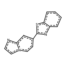 [c]1c(-c2nc3ccccc3s2)ccn2ccnc12